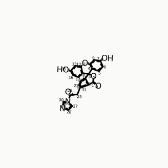 O=C1OC2(c3ccc(O)cc3Oc3cc(O)ccc32)c2ccc(CC(=O)n3ccnc3)cc21